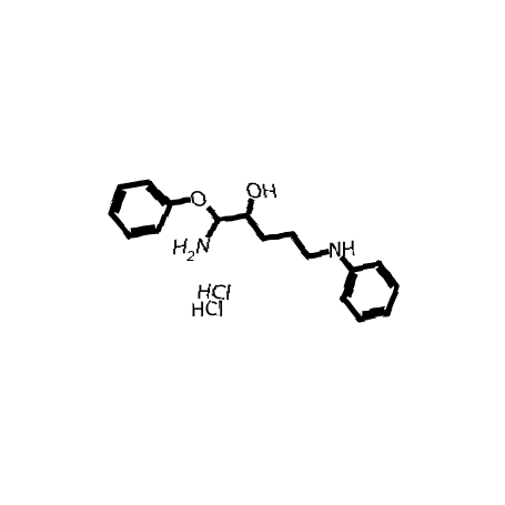 Cl.Cl.NC(Oc1ccccc1)C(O)CCCNc1ccccc1